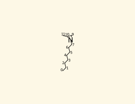 CCCCCCCCN1CC1C